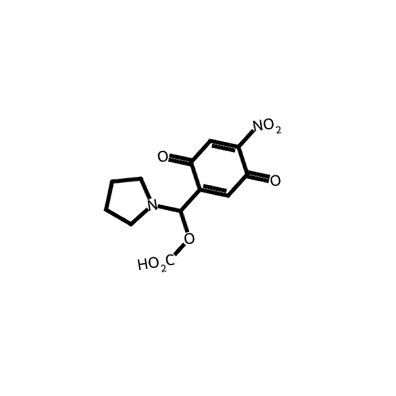 O=C(O)OC(C1=CC(=O)C([N+](=O)[O-])=CC1=O)N1CCCC1